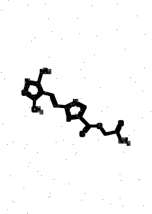 CCCCc1noc(C)c1C=Cc1ncc(C(=O)OCC(N)=O)s1